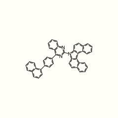 c1ccc2c(-c3ccc(-c4nc(-n5c6ccc7ccccc7c6c6c7ccccc7ccc65)nc5ccccc45)cc3)cccc2c1